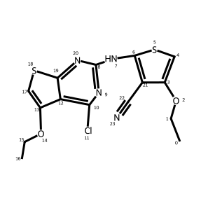 CCOc1csc(Nc2nc(Cl)c3c(OCC)csc3n2)c1C#N